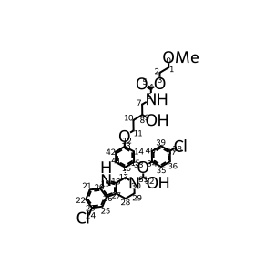 COCCOC(=O)NCC(O)CCOc1ccc([C@H]2c3[nH]c4ccc(Cl)cc4c3CCN2C(O)Oc2ccc(Cl)cc2)cc1